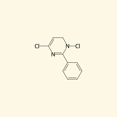 ClC1=CCN(Cl)C(c2ccccc2)=N1